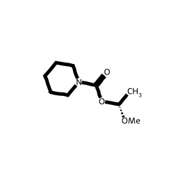 CO[C@@H](C)OC(=O)N1C[CH]CCC1